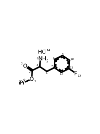 CC(C)OC(=O)C(N)Cc1cccc(F)c1.Cl